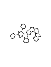 c1ccc(-c2nc(-c3ccccc3)nc(-c3ccccc3-c3ccc4ccc5ccc6oc7ccccc7c6c5c4c3)n2)cc1